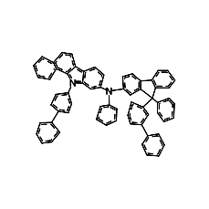 c1ccc(-c2ccc(-n3c4cc(N(c5ccccc5)c5ccc6c(c5)C(c5ccccc5)(c5cccc(-c7ccccc7)c5)c5ccccc5-6)ccc4c4ccc5ccccc5c43)cc2)cc1